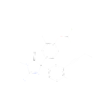 C=C1N(C)C(N)=NC1(c1ccc(OC(F)F)c(C)c1)c1ccc(F)c(C#CCC)c1